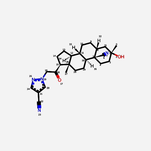 C[C@@]1(O)CC[C@@]2(C#N)[C@H](CC[C@H]3[C@@H]4CC[C@H](C(=O)Cn5cc(C#N)cn5)[C@@]4(C)CC[C@@H]32)C1